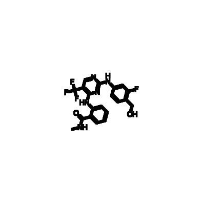 CNC(=O)c1ccccc1Nc1nc(Nc2ccc(CO)c(F)c2)ncc1C(F)(F)F